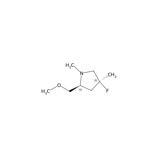 COC[C@@H]1C[C@](C)(F)CN1C